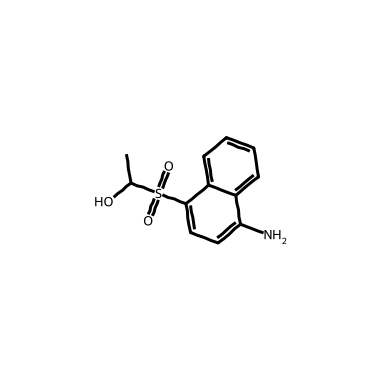 CC(O)S(=O)(=O)c1ccc(N)c2ccccc12